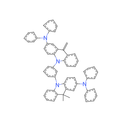 C=C1c2ccccc2N(c2cccc(N3c4ccccc4C(C)(C)c4cc(N(c5ccccc5)c5ccccc5)ccc43)c2)c2ccc(N(c3ccccc3)c3ccccc3)cc21